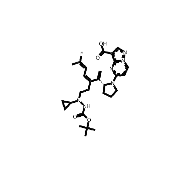 C=C(/C(=C\C=C(/C)F)CCN(NC(=O)OC(C)(C)C)C1CC1)[C@H]1CCCN1c1ccn2ncc(C(=O)O)c2n1